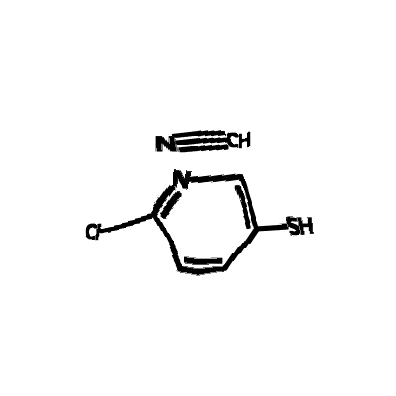 C#N.Sc1ccc(Cl)nc1